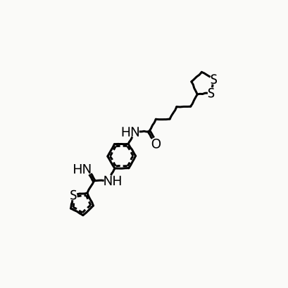 N=C(Nc1ccc(NC(=O)CCCCC2CCSS2)cc1)c1cccs1